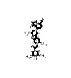 C[C@@H]1CN(c2ccc(C#N)n3ncc(F)c23)Cc2c3c(nn21)CN(CC(=O)N1C[C@H](C)N[C@@H](C)C1)[C@@H](C)C3